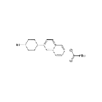 CCCCC(=O)Oc1ccc2cc(C3CCC(CC)CC3)ccc2c1